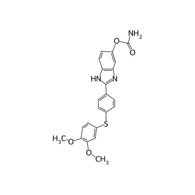 COc1ccc(Sc2ccc(-c3nc4cc(OC(N)=O)ccc4[nH]3)cc2)cc1OC